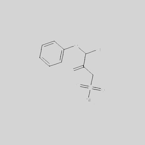 CC(Oc1ccccc1)C(=O)CS(N)(=O)=O